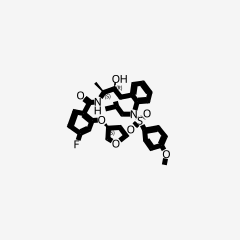 COc1ccc(S(=O)(=O)N(CC(C)C)c2ccccc2C[C@@H](O)[C@H](C)NC(=O)c2ccc(F)cc2O[C@H]2CCOC2)cc1